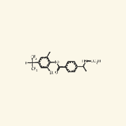 CCc1cc(C(F)(C(F)(F)F)C(F)(F)F)cc(C)c1NC(=O)c1ccc(C(C)NC(=O)O)cc1